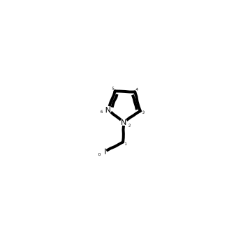 ICn1cccn1